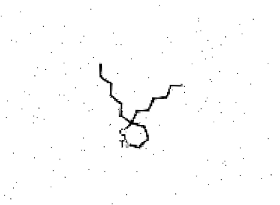 CCCCCCC1(CCCCCC)CCC[Te]O1